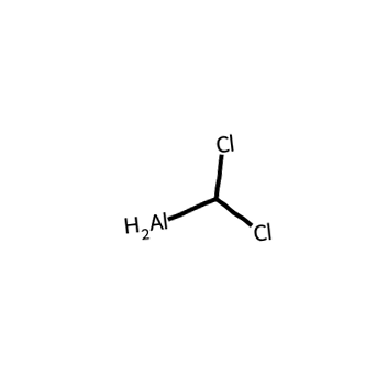 [AlH2][CH](Cl)Cl